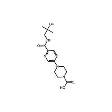 CC(C)(O)CNC(=O)c1ccc(N2CCN(C(=O)O)CC2)cn1